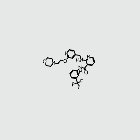 O=C(Nc1cccc(C(F)(F)F)c1)c1cccnc1NCc1ccnc(OCCN2CCOCC2)c1